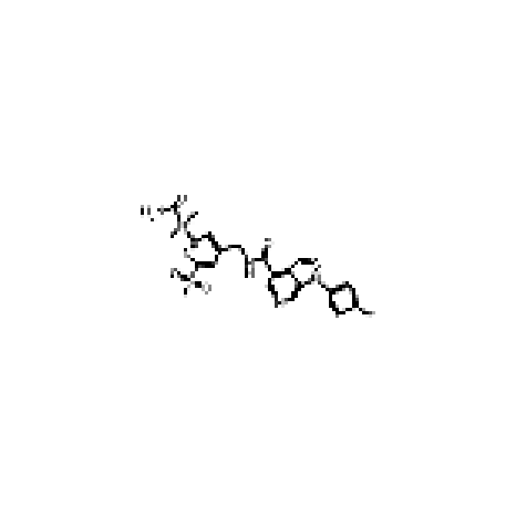 C[N+](C)(C(N)=O)c1cc(CNC(=O)c2cncc3c2cnn3-c2ccc(F)cc2)cc(S(C)(=O)=O)n1